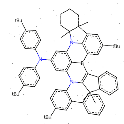 CC(C)(C)c1ccc(N(c2ccc(C(C)(C)C)cc2)c2cc3c4c(c2)N2c5c(cc(C(C)(C)C)cc5C5(C)CCCCC25C)B4C2=C(N3c3ccc(C(C)(C)C)cc3-c3ccccc3)C(C)(C)c3ccccc32)cc1